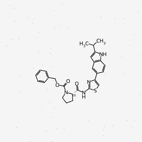 CC(C)c1cc2cc(-c3csc(NC(=O)[C@@H]4CCCN4C(=O)OCc4ccccc4)n3)ccc2[nH]1